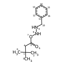 CC(C)(C)CC(=O)ONNCc1ccccc1